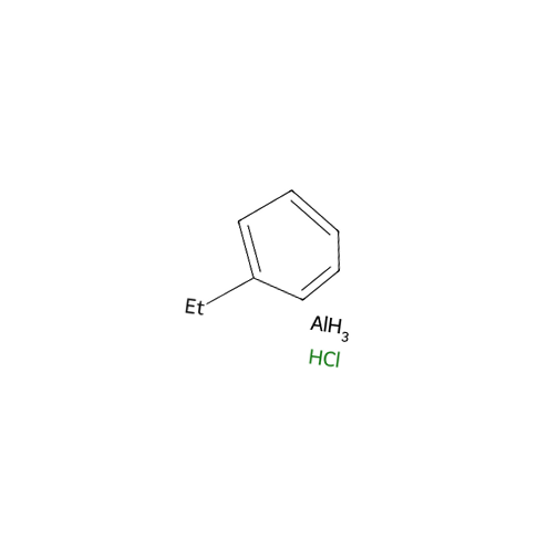 CCc1ccccc1.Cl.[AlH3]